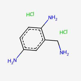 Cl.Cl.NCc1cc(N)ccc1N